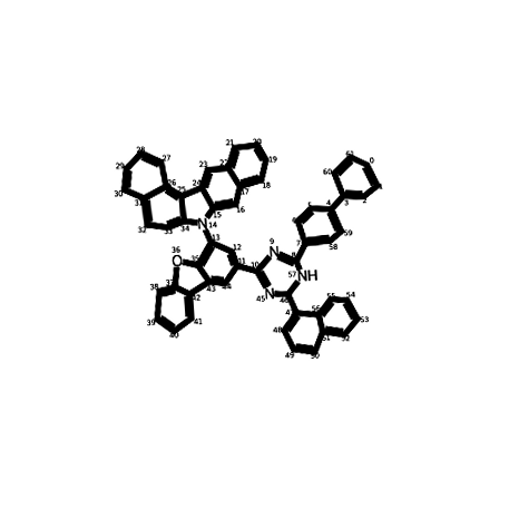 c1ccc(-c2ccc(C3=NC(c4cc(-n5c6cc7ccccc7cc6c6c7ccccc7ccc65)c5oc6ccccc6c5c4)=NC(c4cccc5ccccc45)N3)cc2)cc1